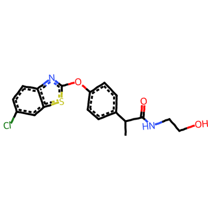 CC(C(=O)NCCO)c1ccc(Oc2nc3ccc(Cl)cc3s2)cc1